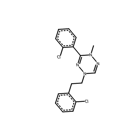 CN1N=CN(CCc2ccccc2Cl)N=C1c1ccccc1Cl